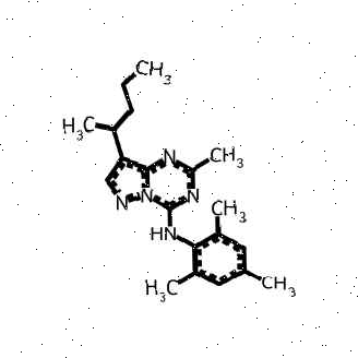 CCCC(C)c1cnn2c(Nc3c(C)cc(C)cc3C)nc(C)nc12